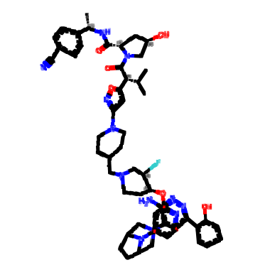 CC(C)[C@@H](C(=O)N1C[C@H](O)C[C@H]1C(=O)N[C@@H](C)c1ccc(C#N)cc1)c1cc(N2CCC(CN3CC[C@H](Oc4cc(N5C6CCC5CN(c5cc(-c7ccccc7O)nnc5N)C6)ccn4)[C@H](F)C3)CC2)no1